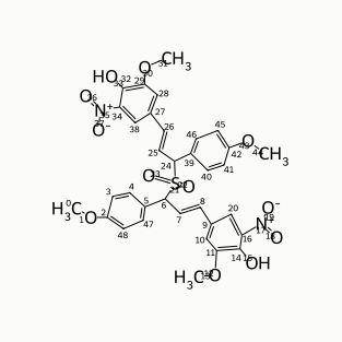 COc1ccc(C(C=Cc2cc(OC)c(O)c([N+](=O)[O-])c2)S(=O)(=O)C(C=Cc2cc(OC)c(O)c([N+](=O)[O-])c2)c2ccc(OC)cc2)cc1